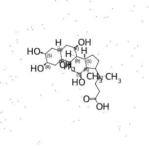 C[C@H](CCC(=O)O)C1CC[C@H]2[C@@H]3[C@H](O)C[C@@H]4C[C@H](O)[C@H](O)C[C@]4(C)[C@H]3C[C@H](O)[C@]12C